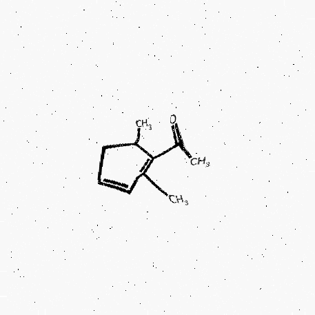 CC(=O)C1=C(C)C=CCC1C